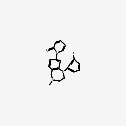 CN1CCN(c2cccc(F)c2)c2cc(-n3ccccc3=O)ccc2C1